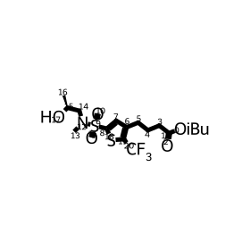 CC(C)COC(=O)CCCc1cc(S(=O)(=O)N(C)C[C@H](C)O)sc1C(F)(F)F